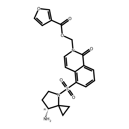 N[C@@H]1CCN(S(=O)(=O)c2cccc3c(=O)n(COC(=O)c4ccoc4)ccc23)C12CC2